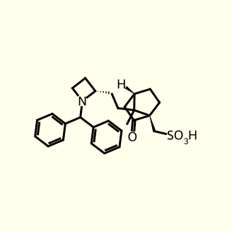 CC1(CC[C@H]2CCN2C(c2ccccc2)c2ccccc2)[C@H]2CC[C@]1(CS(=O)(=O)O)C(=O)C2